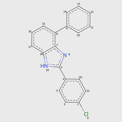 Clc1ccc(-c2nc3c(-c4ccccc4)cccc3[nH]2)cc1